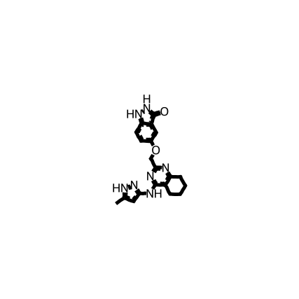 Cc1cc(Nc2nc(COc3ccc4[nH][nH]c(=O)c4c3)nc3c2CCCC3)n[nH]1